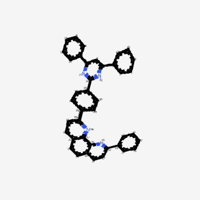 c1ccc(-c2cc(-c3ccccc3)nc(-c3ccc(-c4ccc5ccc6ccc(-c7ccccc7)nc6c5n4)cc3)n2)cc1